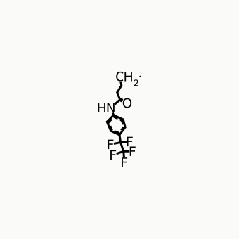 [CH2]CCC(=O)Nc1ccc(C(F)(F)C(F)(F)F)cc1